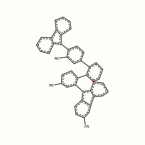 N#Cc1ccc(-c2ccccc2-c2ccc(-n3c4ccccc4c4ccccc43)c(C#N)c2)c(-n2c3ccccc3c3cc(C#N)ccc32)c1